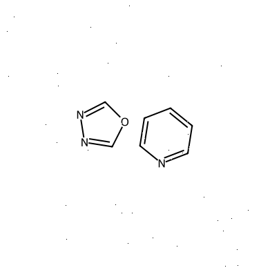 c1ccncc1.c1nnco1